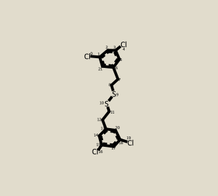 Clc1cc(Cl)cc(CCSSCCc2cc(Cl)cc(Cl)c2)c1